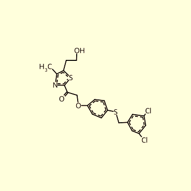 Cc1nc(C(=O)COc2ccc(SCc3cc(Cl)cc(Cl)c3)cc2)sc1CCO